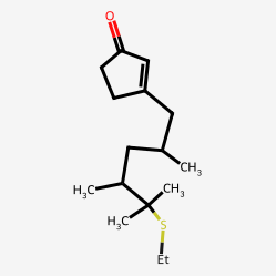 CCSC(C)(C)C(C)CC(C)CC1=CC(=O)CC1